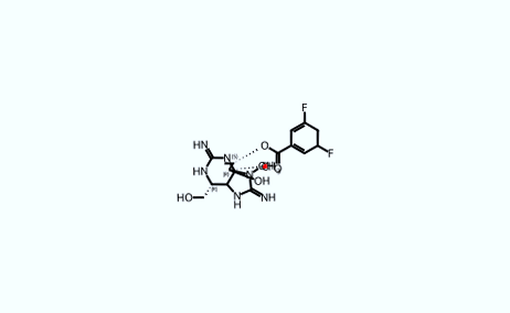 C[C@]1(O)[C@@H](OC(=O)C2=CC(F)CC(F)=C2)CN2C(=N)N[C@@H](CO)C3NC(=N)N(O)C321